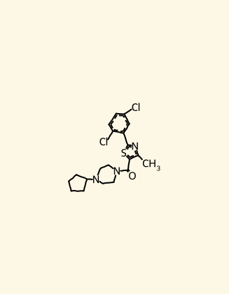 Cc1nc(-c2cc(Cl)ccc2Cl)sc1C(=O)N1CCN(C2CCCC2)CC1